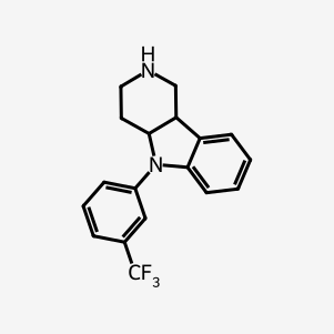 FC(F)(F)c1cccc(N2c3ccccc3C3CNCCC32)c1